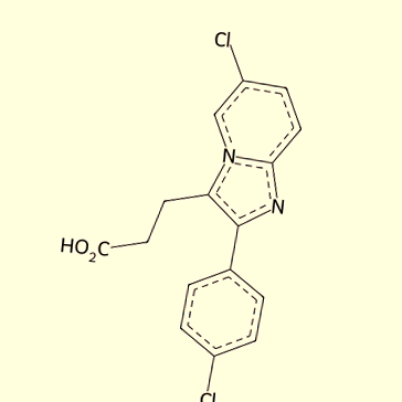 O=C(O)CCc1c(-c2ccc(Cl)cc2)nc2ccc(Cl)cn12